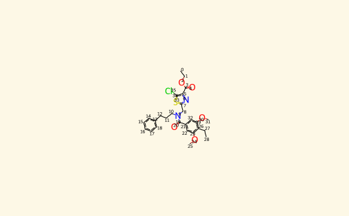 CCOC(=O)c1nc(CN(CCCc2ccccc2)C(=O)c2cc(OC)c(CC)c(OC)c2)sc1Cl